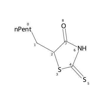 CCCCCCC1SC(=S)NC1=O